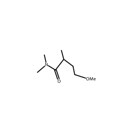 COCCC(C)C(=O)N(C)C